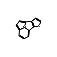 c1cc2ccc3c4ccsc4c(c1)n23